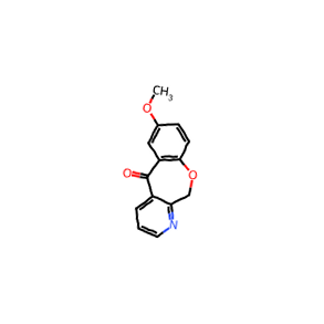 COc1ccc2c(c1)C(=O)c1cccnc1CO2